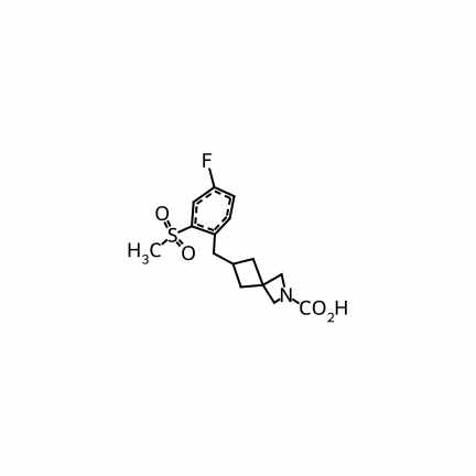 CS(=O)(=O)c1cc(F)ccc1CC1CC2(C1)CN(C(=O)O)C2